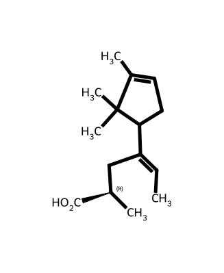 CC=C(C[C@@H](C)C(=O)O)C1CC=C(C)C1(C)C